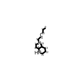 CCCCCCN1CCC2NCCCC2C1